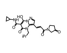 CC(C)Cn1c(=O)c(C(=O)NC2CC2)c(O)n2ncc(C=CC(=O)N3CCC(=O)C3)c12